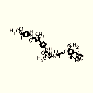 COc1cc2c(cc1OCCCC(=O)Nc1cn(C)c(C(=O)Nc3ccc(-c4cc(C(=O)Nc5ccc(NC(C)=O)cc5)n(C)c4)cc3)n1)NC[C@@H]1CCCCN1C2=O